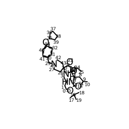 CCCCN(C(=O)C(CC(C)C)NC(=O)OC(C)(C)C)C1(C(=O)NCC)CCN(Cc2ccc(OC3CCCC3)cc2)CC1